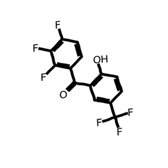 O=C(c1cc(C(F)(F)F)ccc1O)c1ccc(F)c(F)c1F